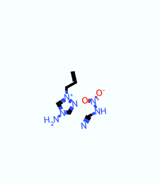 C=CC[n+]1cn(N)cn1.N#CN[N+](=O)[O-]